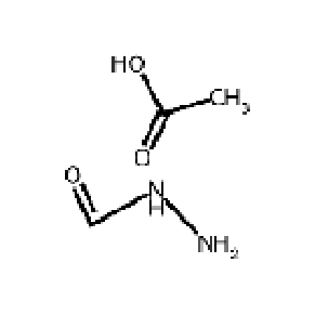 CC(=O)O.NNC=O